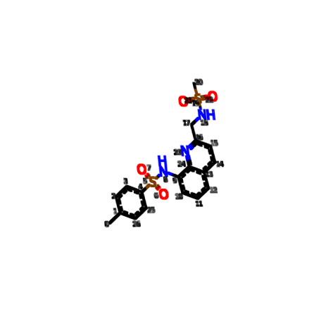 Cc1ccc(S(=O)(=O)Nc2cccc3ccc(CNS(C)(=O)=O)nc23)cc1